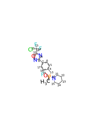 CP(=O)(Cc1ccc(-c2noc(C(F)(F)Cl)n2)cc1F)N1CCCCC1